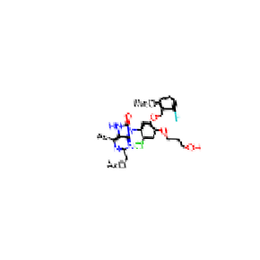 COc1cccc(F)c1COc1cc(-n2c(=O)[nH]c3c(C(C)=O)nc(COC(C)=O)nc32)c(Cl)cc1OCCCO